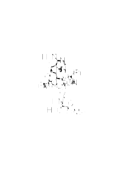 COC(=O)[C@H](C)NCOC[C@@](C#N)(OC)[C@@H](OC(=O)C(C)C)[C@@H](OC(=O)C(C)C)c1ccc2c(N)ncnn12